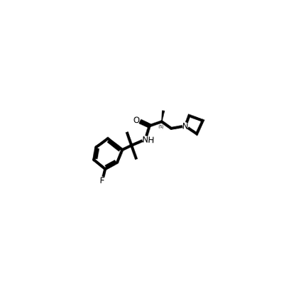 C[C@@H](CN1CCC1)C(=O)NC(C)(C)c1cccc(F)c1